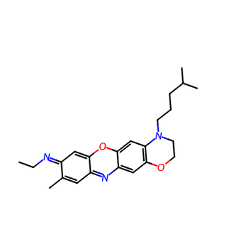 CC/N=c1/cc2oc3cc4c(cc3nc-2cc1C)OCCN4CCCC(C)C